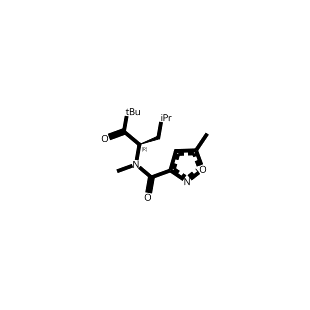 Cc1cc(C(=O)N(C)[C@H](CC(C)C)C(=O)C(C)(C)C)no1